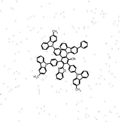 Cc1ccc2c(c1)c1ccccc1n2-c1ccc(-c2c(C#N)c(-n3c4ccccc4c4cc(-c5ccccc5)ccc43)c(-c3ccc(-n4c5ccccc5c5cc(C)ccc54)cc3)c(-c3ccc(-n4c5ccccc5c5cc(C)ccc54)cc3)c2-c2nc3ccccc3o2)cc1